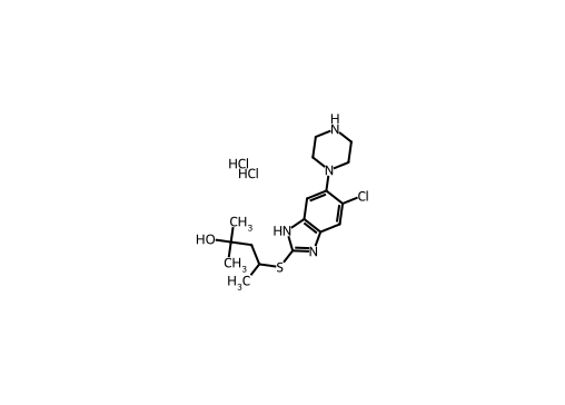 CC(CC(C)(C)O)Sc1nc2cc(Cl)c(N3CCNCC3)cc2[nH]1.Cl.Cl